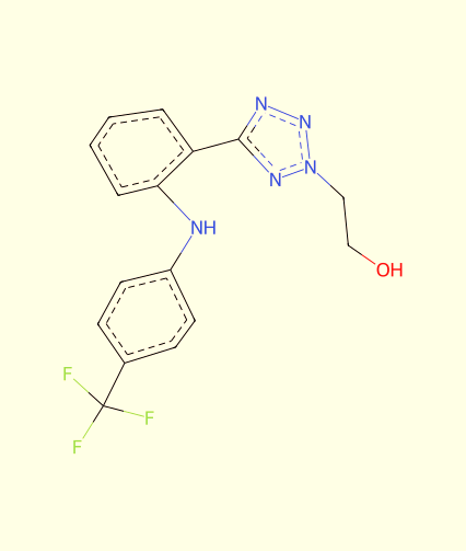 OCCn1nnc(-c2ccccc2Nc2ccc(C(F)(F)F)cc2)n1